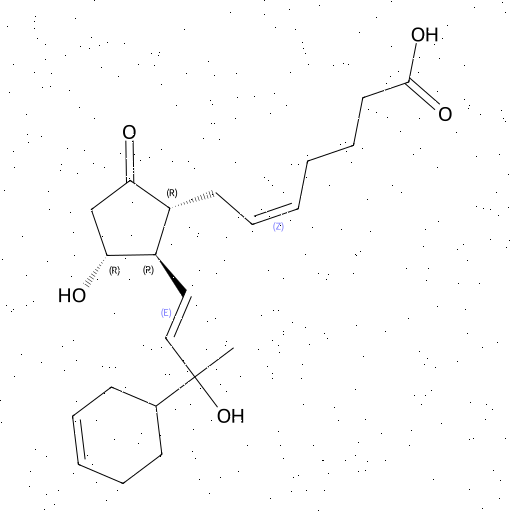 CC(O)(/C=C/[C@H]1[C@H](O)CC(=O)[C@@H]1C/C=C\CCCC(=O)O)C1CC=CCC1